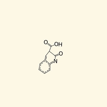 O=C(O)C1C=c2ccccc2=NC1=O